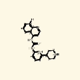 O=C(Nc1ccnc2c(F)cccc12)NC1C=CC=C(C2CCNCC2)N1